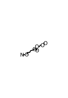 N#COCCCCCC(=O)OCCOC=O